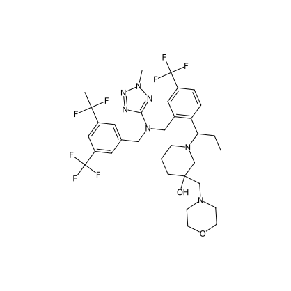 CCC(c1ccc(C(F)(F)F)cc1CN(Cc1cc(C(C)(F)F)cc(C(F)(F)F)c1)c1nnn(C)n1)N1CCCC(O)(CN2CCOCC2)C1